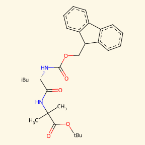 CC[C@H](C)[C@H](NC(=O)OCC1c2ccccc2-c2ccccc21)C(=O)NC(C)(C)C(=O)OC(C)(C)C